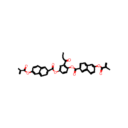 C=C(C)C(=O)Oc1ccc2cc(C(=O)Oc3ccc(OC(=O)c4ccc5cc(OC(=O)C(=C)C)ccc5c4)c(C(=O)CC)c3)ccc2c1